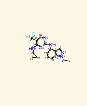 CCn1ncc2c(Nc3ncc(C(F)(F)F)c(NC4CC4)n3)cccc21